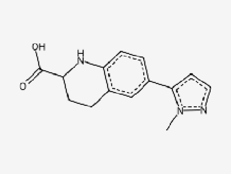 Cn1nccc1-c1ccc2c(c1)CCC(C(=O)O)N2